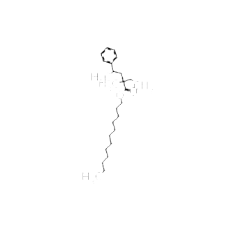 CCCCCCCCCCCCOC(=O)C(C)(CC)CC(C)c1ccccc1